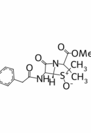 COC(=O)C1N2C(=O)C(NC(=O)Cc3ccccc3)[C@H]2[S+]([O-])C1(C)C